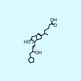 CC(CCCC(=O)O)C1=CC2C[C@@H](O)[C@H](/C=C/C(O)CC3CCCC3)C2C1